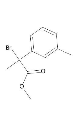 COC(=O)C(C)(Br)c1cccc(C)c1